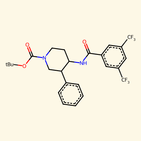 CC(C)(C)OC(=O)N1CCC(NC(=O)c2cc(C(F)(F)F)cc(C(F)(F)F)c2)C(c2ccccc2)C1